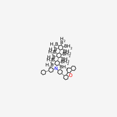 Bc1c(B)c(B)c(-c2c(B)c(B)c(-c3c(B)c(B)c(N(c4ccc(-c5ccccc5)cc4)c4ccc(-c5cccc6oc7c8ccccc8ccc7c56)cc4)c(B)c3B)c(B)c2B)c(B)c1B